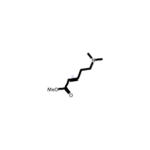 COC(=O)/C=C/CCN(C)C